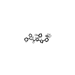 CS(=O)(=O)c1cccc(-c2ccc(-c3cc(C(=O)NCC(c4cccnc4)N4CCCC4)nn3-c3ccccc3Cl)s2)c1